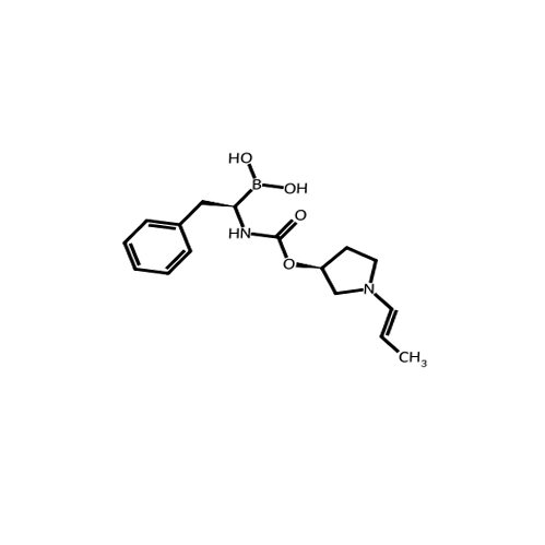 CC=CN1CC[C@H](OC(=O)N[C@@H](Cc2ccccc2)B(O)O)C1